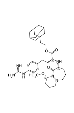 N=C(N)Nc1ccc(CC[C@H](N[C@H]2CCCN3CCC[C@H](OC(=O)O)N3C2=O)C(=O)OCCC23CC4CC(CC(C4)C2)C3)cc1